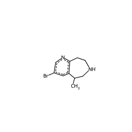 CC1CNCCc2ncc(Br)cc21